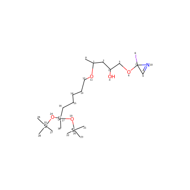 CC(CC(O)COC1(I)C=N1)OCCCCC[Si](C)(O[Si](C)(C)C)O[Si](C)(C)C